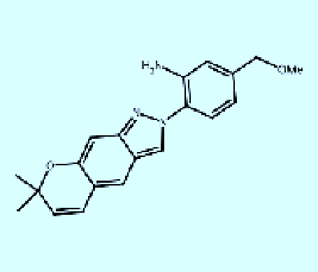 COCc1ccc(-n2cc3cc4c(cc3n2)OC(C)(C)C=C4)c(N)c1